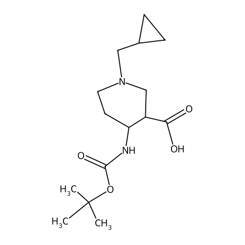 CC(C)(C)OC(=O)NC1CCN(CC2CC2)CC1C(=O)O